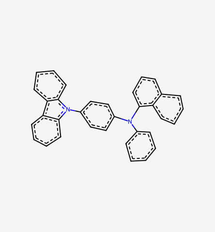 c1ccc(N(c2ccc(-n3c4ccccc4c4ccccc43)cc2)c2cccc3ccccc23)cc1